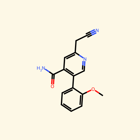 COc1ccccc1-c1cnc(CC#N)cc1C(N)=O